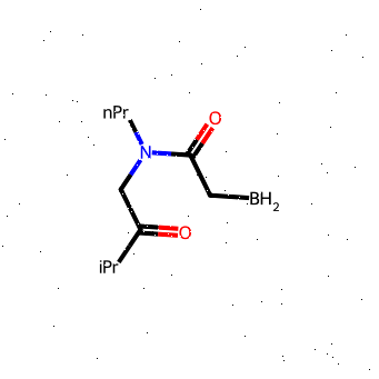 BCC(=O)N(CCC)CC(=O)C(C)C